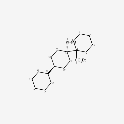 CCCCC[C@]1(C2(C(=O)OCC)CCCCC2)CC[C@@H](C2CCCCC2)CC1